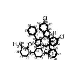 C[C@@H](c1ccc(Cl)cc1)n1cnc(-c2ccccc2)c1-c1c(C(=O)Nc2cccnc2N2CCC(N3CCCN(C)C3=O)CC2)[nH]c2cc(Cl)ccc12